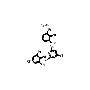 CC(=O)c1cc(Cl)cc(C(C)=O)n1.CC(C)C1=CC=CC(C(C)C)C1=N.CC(C)C1=CC=CC(C(C)C)C1=N.[Cl-].[Cl-].[Co+2]